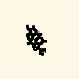 C=C/C=C(\c1cc(C(=C)N(C)C2=C(C(=O)NCC)C=C(C)CC=C2)ccc1N(C)CC)C(C)C